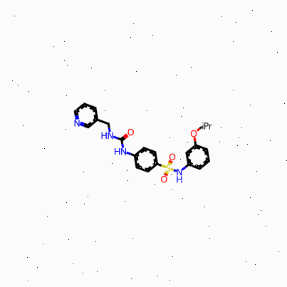 CC(C)Oc1cccc(NS(=O)(=O)c2ccc(NC(=O)NCc3cccnc3)cc2)c1